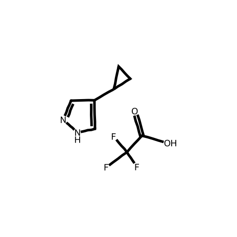 O=C(O)C(F)(F)F.c1n[nH]cc1C1CC1